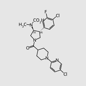 CN(C(=O)O)[C@@H]1CN(C(=O)C2CCN(c3ccc(Cl)cn3)CC2)C[C@H]1c1ccc(Cl)c(F)c1